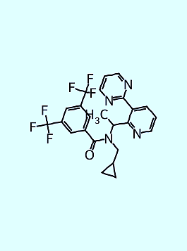 CC(c1ncccc1-c1ncccn1)N(CC1CC1)C(=O)c1cc(C(F)(F)F)cc(C(F)(F)F)c1